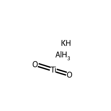 [AlH3].[KH].[O]=[Ti]=[O]